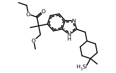 CCOC(=O)C(C)(COC)c1ccc2nc(CC3CCC(C)([SiH3])CC3)[nH]c2c1